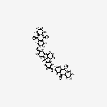 CS(c1ccccc1)(c1ccc(Sc2ccc3c(c2)C(=O)c2ccccc2C3=O)cc1)c1ccc(Sc2ccc3c(c2)C(=O)c2ccccc2C3=O)cc1